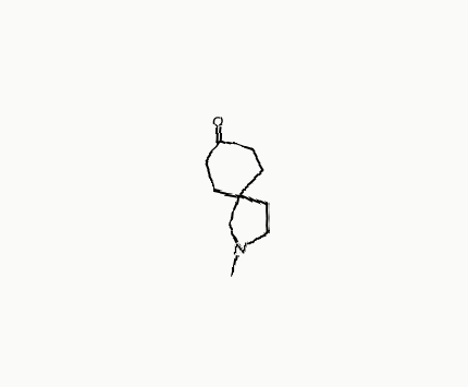 CN1CCC2(CCC(=O)CC2)C1